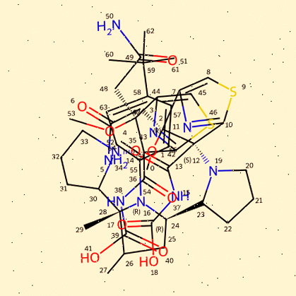 CO[C@@]1(CC(N)=O)c2csc(n2)[C@]1(C(=O)NC(=O)O)N1CCCC1[C@H]1CC(C)[C@](C)(C2CCCN2[C@@]2(C(=O)NC(=O)O)c3nc(cs3)[C@]2(CC(N)=O)OC)N1c1ccc(C(C)(C)C)cc1